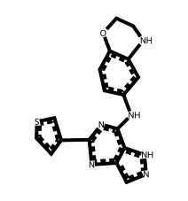 c1cc(-c2nc(Nc3ccc4c(c3)NCCO4)c3[nH]ncc3n2)cs1